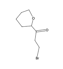 O=C(CCBr)C1CCCCO1